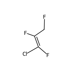 FC/C(F)=C(\F)Cl